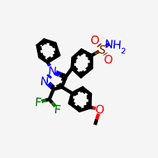 COc1ccc(-c2c(C(F)F)nn(-c3ccccc3)c2-c2ccc(S(N)(=O)=O)cc2)cc1